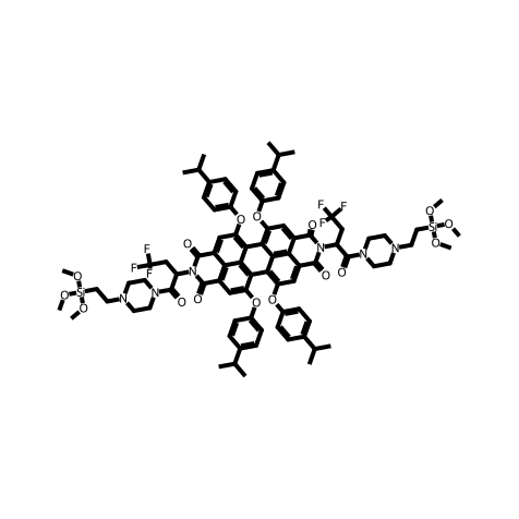 CO[Si](CCN1CCN(C(=O)C(CC(F)(F)F)N2C(=O)c3cc(Oc4ccc(C(C)C)cc4)c4c5c(Oc6ccc(C(C)C)cc6)cc6c7c(cc(Oc8ccc(C(C)C)cc8)c(c8c(Oc9ccc(C(C)C)cc9)cc(c3c48)C2=O)c75)C(=O)N(C(CC(F)(F)F)C(=O)N2CCN(CC[Si](OC)(OC)OC)CC2)C6=O)CC1)(OC)OC